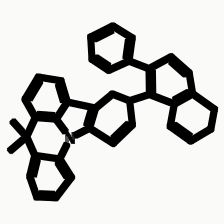 CC1(C)c2ccccc2-n2c3c(c4cccc1c42)CC(c1c(-c2ccccc2)ccc2c1C=CCC2)C=C3